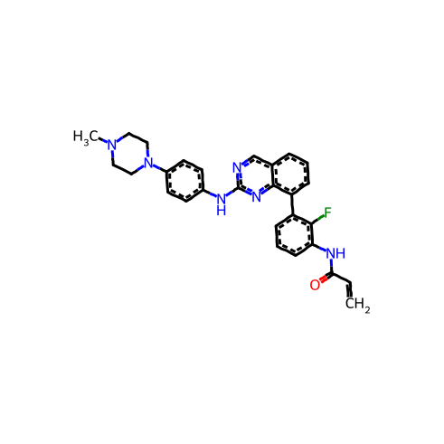 C=CC(=O)Nc1cccc(-c2cccc3cnc(Nc4ccc(N5CCN(C)CC5)cc4)nc23)c1F